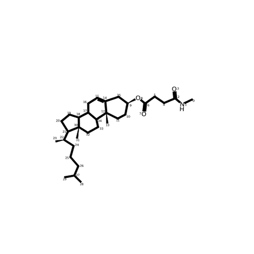 CNC(=O)CCC(=O)O[C@H]1CC[C@@]2(C)C(=CCC3C4CCC([C@H](C)CCCC(C)C)[C@@]4(C)CCC32)C1